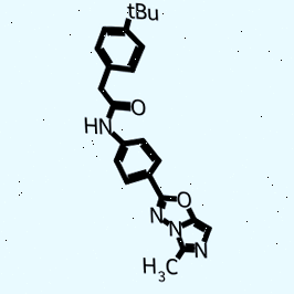 Cc1ncc2oc(-c3ccc(NC(=O)Cc4ccc(C(C)(C)C)cc4)cc3)nn12